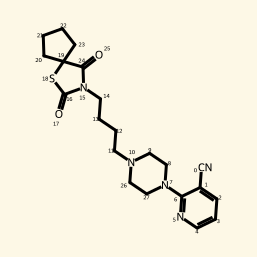 N#Cc1cccnc1N1CCN(CCCCN2C(=O)SC3(CCCC3)C2=O)CC1